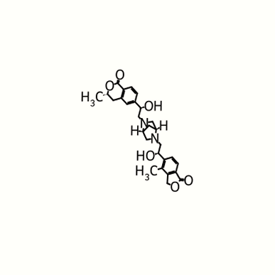 Cc1c([C@@H](O)CN2C[C@H]3C[C@@H]2CN3C[C@H](O)c2ccc3c(c2)C[C@H](C)OC3=O)ccc2c1COC2=O